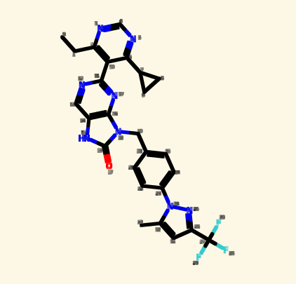 CCc1ncnc(C2CC2)c1-c1ncc2[nH]c(=O)n(Cc3ccc(-n4nc(C(F)(F)F)cc4C)cc3)c2n1